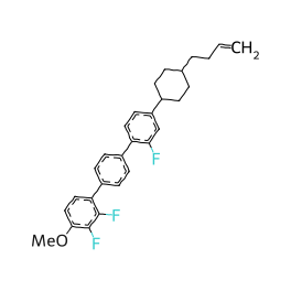 C=CCCC1CCC(c2ccc(-c3ccc(-c4ccc(OC)c(F)c4F)cc3)c(F)c2)CC1